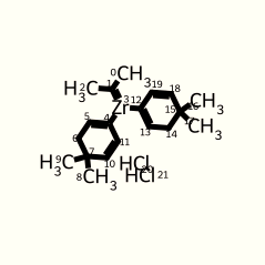 C[C](C)=[Zr]([C]1=CCC(C)(C)C=C1)[C]1=CCC(C)(C)C=C1.Cl.Cl